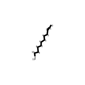 C/C=C/CCCCCCCCI